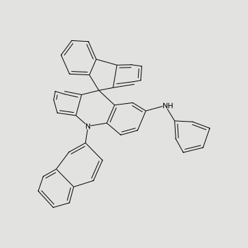 c1ccc(Nc2ccc3c(c2)C2(c4ccccc4-c4ccccc42)c2ccccc2N3c2ccc3ccccc3c2)cc1